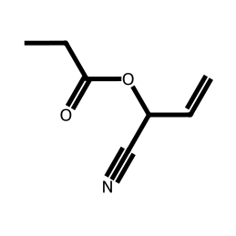 C=CC(C#N)OC(=O)CC